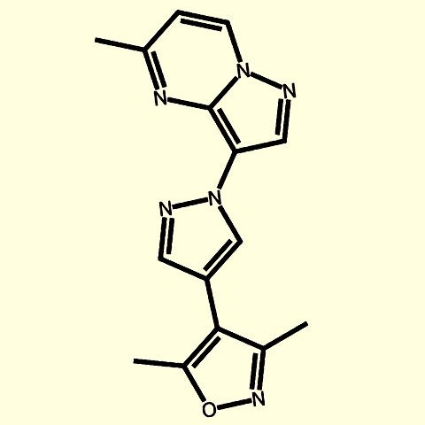 Cc1ccn2ncc(-n3cc(-c4c(C)noc4C)cn3)c2n1